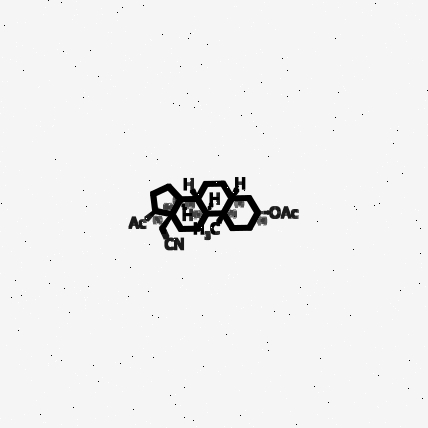 CC(=O)O[C@@H]1CC[C@@]2(C)[C@H](CC[C@@H]3[C@@H]2CC[C@]2(CC#N)[C@@H](C(C)=O)CC[C@@H]32)C1